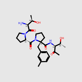 CC(=O)[C@@H](NC(=O)[C@@]1(Cc2cccc(C)c2)CCCN1C(=O)[C@@H]1CCCN1C(=O)[C@@H](N)[C@@H](C)O)[C@@H](C)O